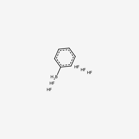 Bc1ccccc1.F.F.F.F.F